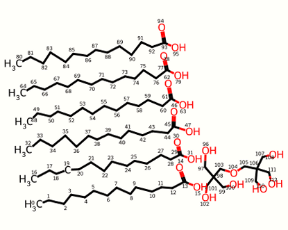 CCCCCCCCCCCCCC(=O)O.CCCCCCCCCCCCCC(=O)O.CCCCCCCCCCCCCC(=O)O.CCCCCCCCCCCCCC(=O)O.CCCCCCCCCCCCCC(=O)O.CCCCCCCCCCCCCC(=O)O.OCC(CO)(CO)COCC(CO)(CO)CO